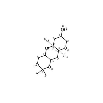 CC1(C)OCC2O[C@H]3CC(O)CO[C@H]3CC2O1